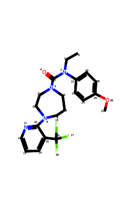 CCN(C(=O)N1CCCN(c2ncccc2C(F)(F)F)CC1)c1ccc(OC)cc1